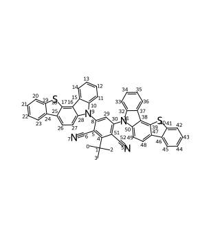 CC(C)(C)c1c(C#N)c(-n2c3ccccc3c3c4sc5ccccc5c4ccc32)cc(-n2c3ccccc3c3c4sc5ccccc5c4ccc32)c1C#N